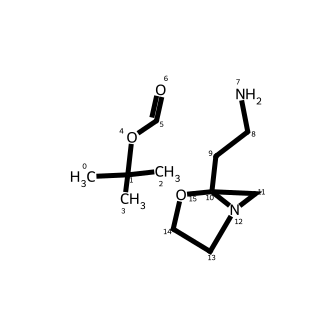 CC(C)(C)OC=O.NCCC12CN1CCO2